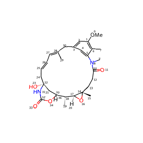 COc1cc2cc(c1C)N(C)C(=O)CC[C@]1(C)O[C@H]1[C@H](C)[C@@H]1C[C@](O)(C/C=C/C=C(\C)C2)NC(=O)O1